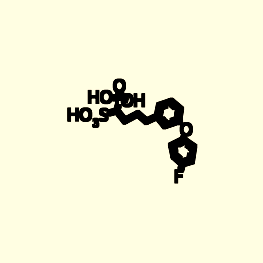 O=P(O)(O)C(CCCc1cccc(Oc2ccc(F)cc2)c1)S(=O)(=O)O